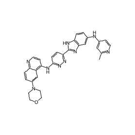 Cc1cc(Nc2ccc3[nH]c(-c4ccc(Nc5ccnc6ccc(N7CCOCC7)cc56)nn4)nc3c2)ccn1